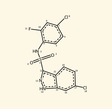 O=S(=O)(Nc1ccc(Cl)cc1F)c1n[nH]c2cc(Cl)ccc12